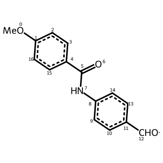 COc1ccc(C(=O)Nc2ccc([C]=O)cc2)cc1